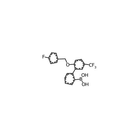 OB(O)c1ccccc1-c1cc(C(F)(F)F)ccc1OCc1ccc(F)cc1